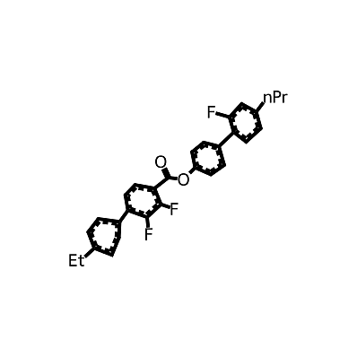 CCCc1ccc(-c2ccc(OC(=O)c3ccc(-c4ccc(CC)cc4)c(F)c3F)cc2)c(F)c1